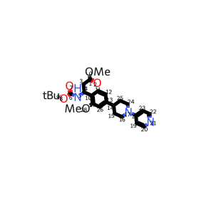 COC(=O)CC(NC(=O)OC(C)(C)C)c1ccc(C2CCN(c3ccncc3)CC2)cc1OC